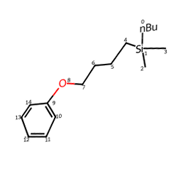 CCCC[Si](C)(C)CCCCOc1cc[c]cc1